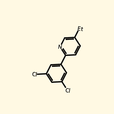 CCc1ccc(-c2cc(Cl)cc(Cl)c2)nc1